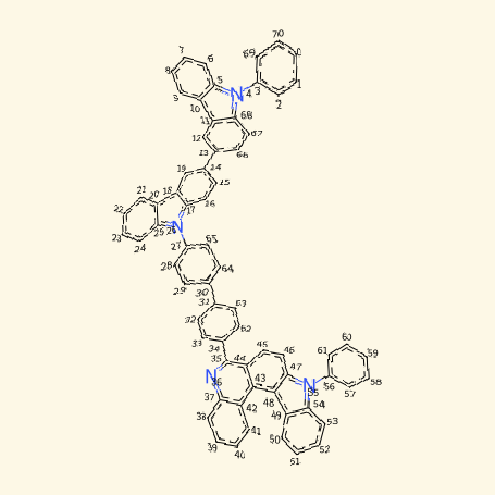 c1ccc(-n2c3ccccc3c3cc(-c4ccc5c(c4)c4ccccc4n5-c4ccc(-c5ccc(-c6nc7ccccc7c7c6ccc6c7c7ccccc7n6-c6ccccc6)cc5)cc4)ccc32)cc1